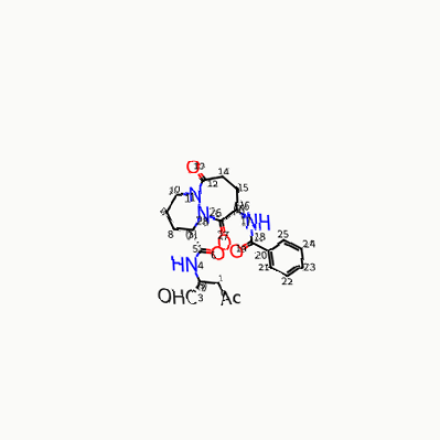 CC(=O)C[C@@H](C=O)NC(=O)[C@@H]1CCCN2C(=O)CC[C@@H](NC(=O)c3ccccc3)C(=O)N12